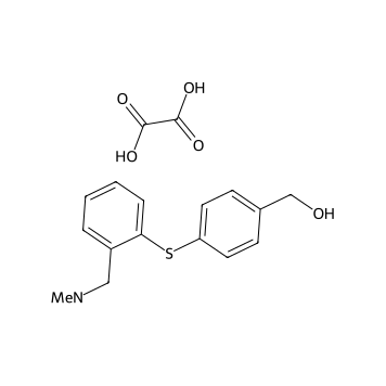 CNCc1ccccc1Sc1ccc(CO)cc1.O=C(O)C(=O)O